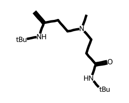 C=C(CCN(C)CCC(=O)NC(C)(C)C)NC(C)(C)C